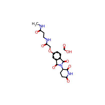 CNC(=O)CCNC(=O)COc1ccc2c(c1)C(=O)N(C1CCC(=O)NC1=O)C2=O.O=CO